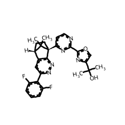 CC(C)(O)c1coc(-c2nccc([C@@]34CC[C@@H](c5cc(-c6c(F)cccc6F)nnc53)C4(C)C)n2)n1